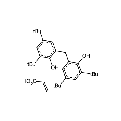 C=CC(=O)O.CC(C)(C)c1cc(Cc2cc(C(C)(C)C)cc(C(C)(C)C)c2O)c(O)c(C(C)(C)C)c1